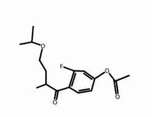 CC(=O)Oc1ccc(C(=O)C(C)CCOC(C)C)c(F)c1